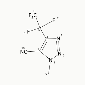 Cn1nnc(C(F)(F)C(F)(F)F)c1C#N